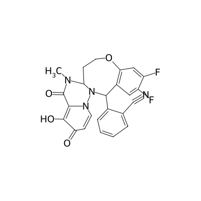 CN1C(=O)c2c(O)c(=O)ccn2N2C(c3ccccc3C#N)c3cc(F)c(F)cc3OCCC12